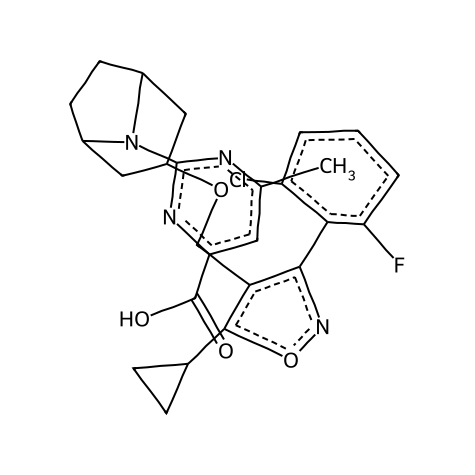 Cc1cc(C(=O)O)nc(N2C3CCC2CC(OCc2c(-c4c(F)cccc4Cl)noc2C2CC2)C3)n1